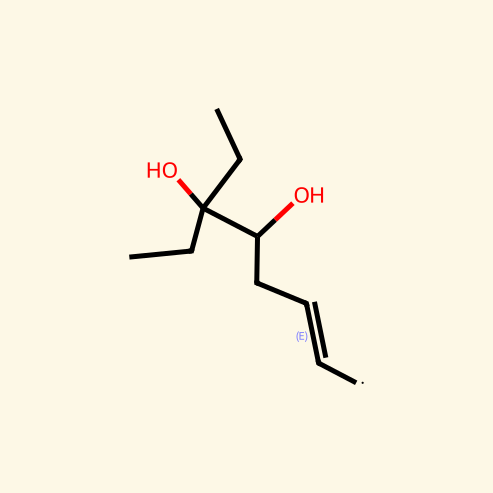 [CH2]/C=C/CC(O)C(O)(CC)CC